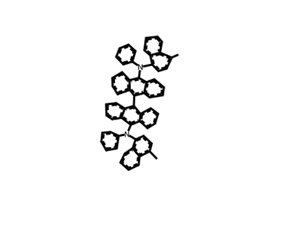 Cc1ccc(N(c2ccccc2)c2c3ccccc3c(-c3c4ccccc4c(N(c4ccccc4)c4ccc(C)c5ccccc45)c4ccccc34)c3ccccc23)c2ccccc12